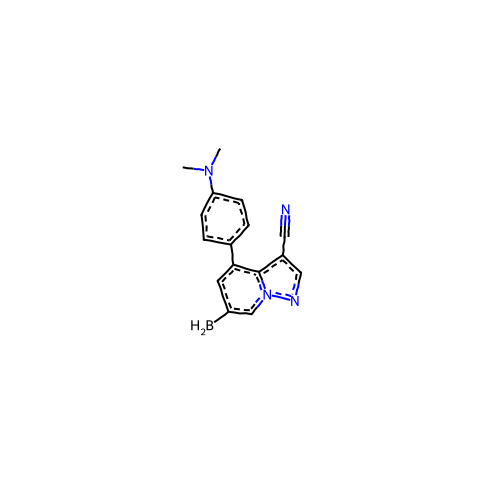 Bc1cc(-c2ccc(N(C)C)cc2)c2c(C#N)cnn2c1